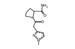 Cn1ccc(CC(=O)N2CCCC2C(N)=O)n1